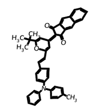 Cc1ccc(N(c2ccccc2)c2ccc(C=CC3=CC(=C4C(=O)c5cc6ccccc6cc5C4=O)C=C(C(C)(C)C)O3)cc2)cc1